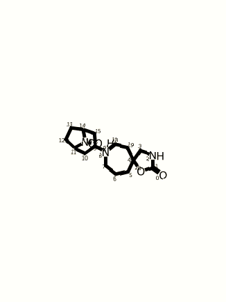 O=C1NCC2(CCCN(C3CC4CCC(C3)N4C(=O)O)CC2)O1